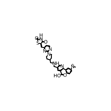 CN(C)c1cccc(-c2ncc(CNCC3CCN(c4nccc(C=C5SC(=O)NC5=O)n4)CC3)cc2C(=O)O)c1